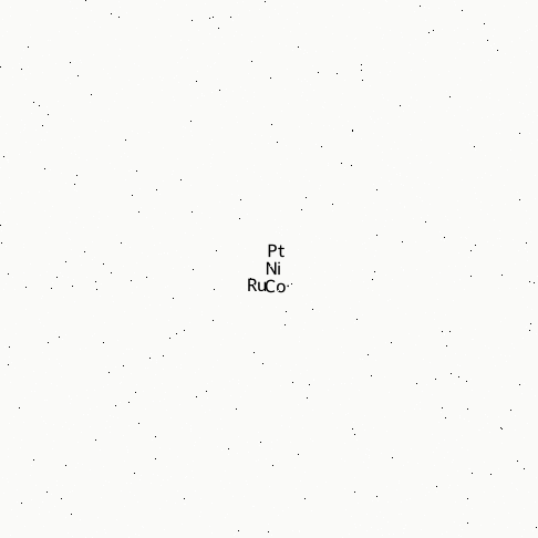 [Co].[Ni].[Pt].[Ru]